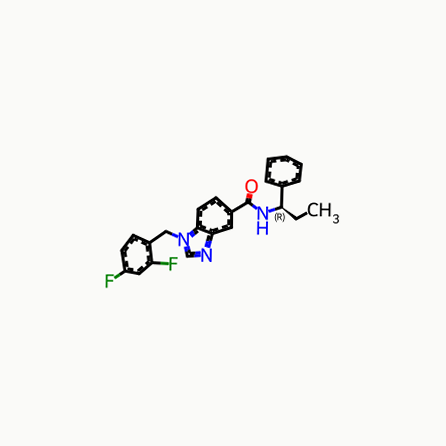 CC[C@@H](NC(=O)c1ccc2c(c1)ncn2Cc1ccc(F)cc1F)c1ccccc1